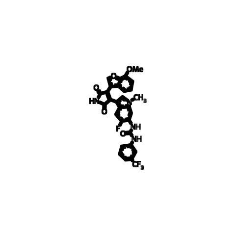 COc1cccc2c(C3=C(c4cn(C)c5cc(NC(=O)Nc6cccc(C(F)(F)F)c6)c(F)cc45)C(=O)NC3=O)coc12